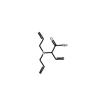 C=CCN(CC=C)C(C=C)C([NH])=O